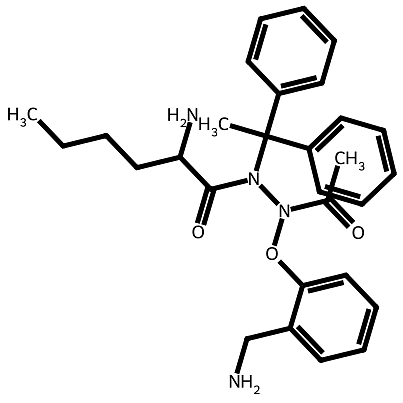 CCCCC(N)C(=O)N(N(Oc1ccccc1CN)C(C)=O)C(C)(c1ccccc1)c1ccccc1